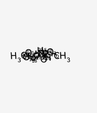 CCCO[C@@H]1C[C@@H]2C[C@H]1C(=O)N2c1ccc2c(c1)CCC2C(=O)OC